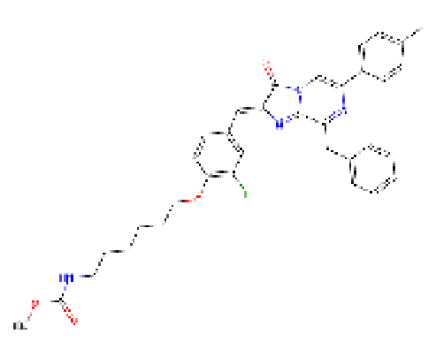 Cc1ccc(C2=CN3C(=O)/C(=C/c4ccc(OCCCCCCNC(=O)OC(C)(C)C)c(F)c4)N=C3C(Cc3ccccc3)=N2)cc1